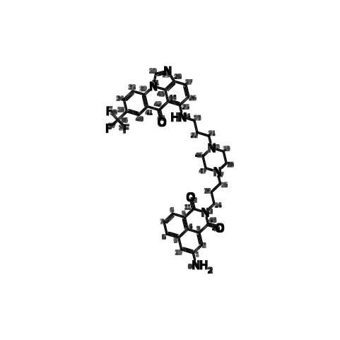 Nc1cc2c3c(cccc3c1)C(=O)N(CCCN1CCN(CCCNc3ccc4ncn5c6ccc(C(F)(F)F)cc6c(=O)c3c45)CC1)C2=O